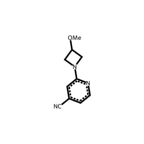 COC1CN(c2cc(C#N)ccn2)C1